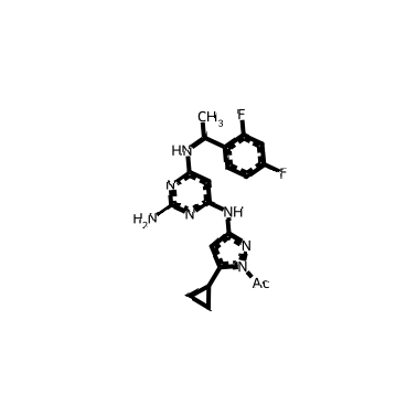 CC(=O)n1nc(Nc2cc(NC(C)c3ccc(F)cc3F)nc(N)n2)cc1C1CC1